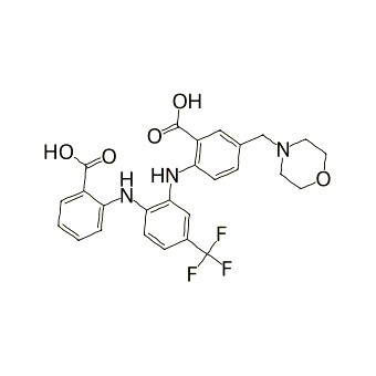 O=C(O)c1ccccc1Nc1ccc(C(F)(F)F)cc1Nc1ccc(CN2CCOCC2)cc1C(=O)O